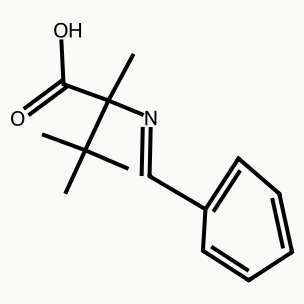 CC(C)(C)C(C)(/N=C/c1ccccc1)C(=O)O